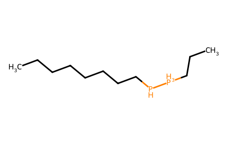 CCCCCCCCP[PH3]CCC